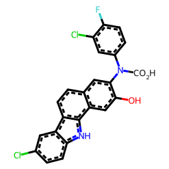 O=C(O)N(c1ccc(F)c(Cl)c1)c1cc2ccc3c4cc(Cl)ccc4[nH]c3c2cc1O